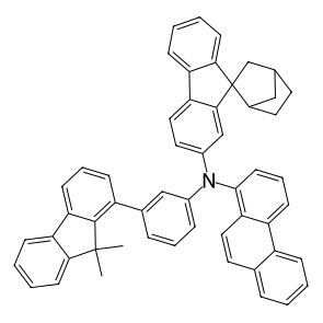 CC1(C)c2ccccc2-c2cccc(-c3cccc(N(c4ccc5c(c4)C4(CC6CCC4C6)c4ccccc4-5)c4cccc5c4ccc4ccccc45)c3)c21